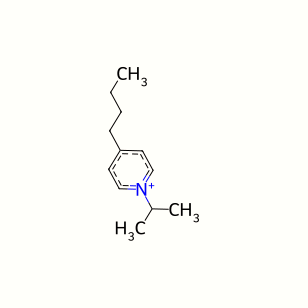 CCCCc1cc[n+](C(C)C)cc1